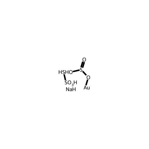 O=S(=O)(O)S.O=S(O)[O][Au].[NaH]